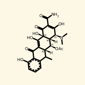 CC(=O)O[C@@H]1[C@H]2[C@H](N(C)C)C(O)=C(C(N)=O)C(=O)[C@@]2(O)C(O)=C2C(=O)c3c(O)cccc3C(C)[C@H]21